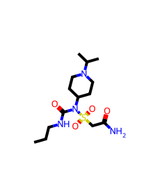 CCCNC(=O)N(C1CCN(C(C)C)CC1)S(=O)(=O)CC(N)=O